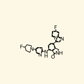 O=C1NCc2c(-c3cnc4cc(F)ccn34)ccc(Nc3ccc(N4CCC(F)CC4)cn3)c21